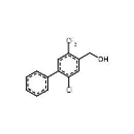 OCc1cc(Cl)c(-c2ccccc2)cc1C(F)(F)F